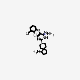 N/N=c1\[nH]c(N2CCC3(CCC[C@@H]3N)CC2)ncc1Sc1cccc(Cl)c1Cl